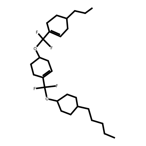 CCCCCC1CCC(OC(F)(F)C2=CCC(OC(F)(F)C3=CCC(CCC)CC3)CC2)CC1